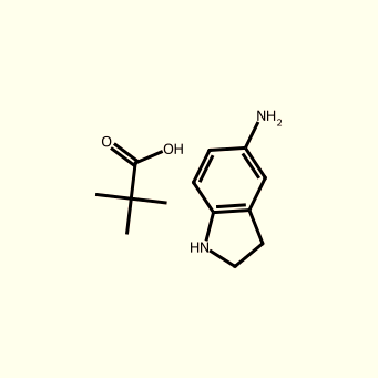 CC(C)(C)C(=O)O.Nc1ccc2c(c1)CCN2